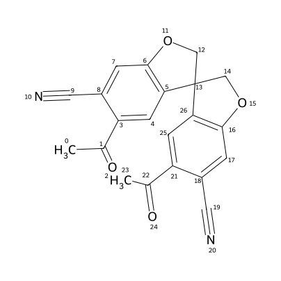 CC(=O)c1cc2c(cc1C#N)OCC21COc2cc(C#N)c(C(C)=O)cc21